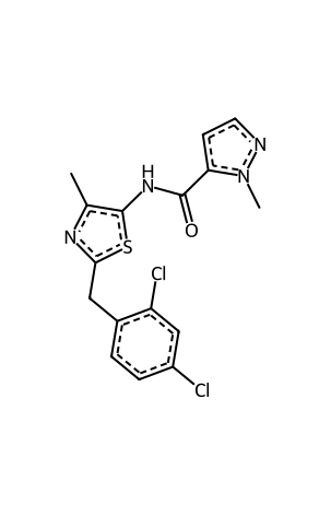 Cc1nc(Cc2ccc(Cl)cc2Cl)sc1NC(=O)c1ccnn1C